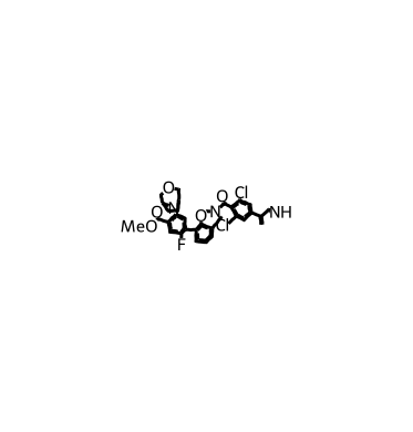 C=C(C=N)c1cc(Cl)c(C(=O)N2COc3c(cccc3-c3cc(N4C5CCC4COC5)c(C(=O)OC)cc3F)C2)c(Cl)c1